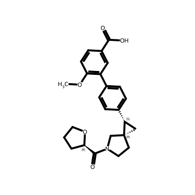 COc1ccc(C(=O)O)cc1-c1ccc([C@@H]2C[C@@]23CCN(C(=O)[C@H]2CCCO2)C3)cc1